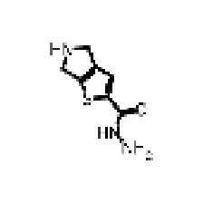 NNC(=O)c1cc2c(s1)CNC2